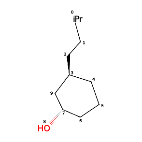 CC(C)CC[C@H]1CCC[C@H](O)C1